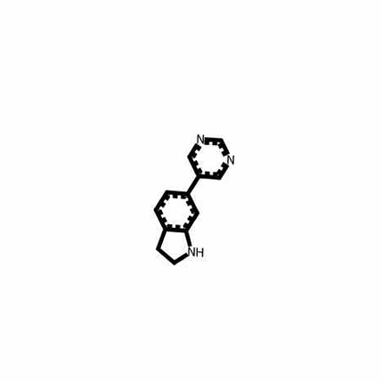 c1ncc(-c2ccc3c(c2)NCC3)cn1